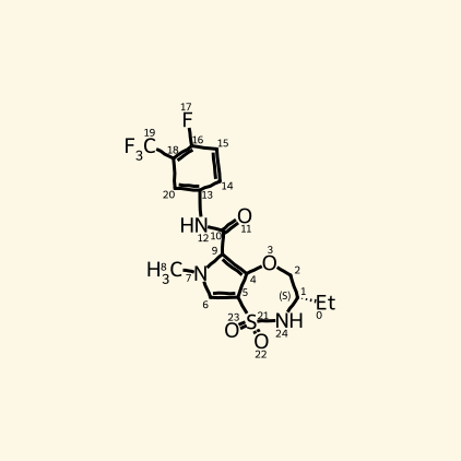 CC[C@H]1COc2c(cn(C)c2C(=O)Nc2ccc(F)c(C(F)(F)F)c2)S(=O)(=O)N1